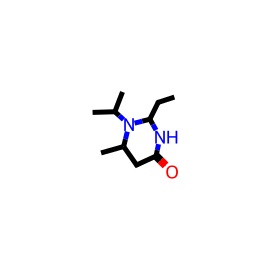 CCC1NC(=O)CC(C)N1C(C)C